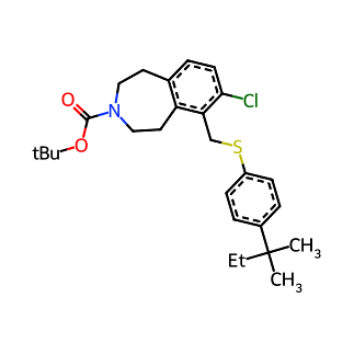 CCC(C)(C)c1ccc(SCc2c(Cl)ccc3c2CCN(C(=O)OC(C)(C)C)CC3)cc1